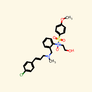 COc1ccc(S(=O)(=O)[N+]([O-])(CCO)c2ccccc2CN(C)CC=Cc2ccc(Cl)cc2)cc1